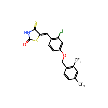 O=C1NC(=S)/C(=C/c2ccc(OCc3ccc(C(F)(F)F)cc3C(F)(F)F)cc2Cl)S1